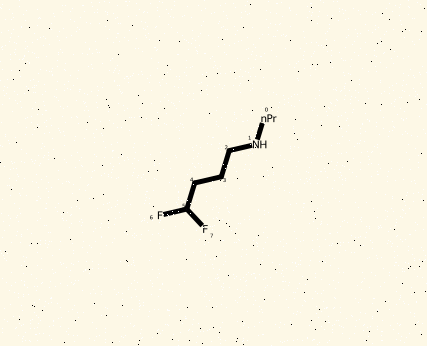 CCCNCCCC(F)F